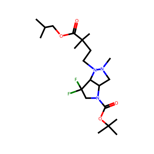 CC(C)COC(=O)C(C)(C)CCN1C2C(CN1C)N(C(=O)OC(C)(C)C)CC2(F)F